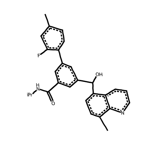 Cc1ccc(-c2cc(C(=O)NC(C)C)cc(C(O)c3ccc(C)c4ncccc34)c2)c(F)c1